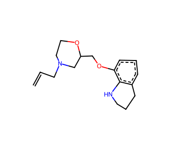 C=CCN1CCOC(COc2cccc3c2NCCC3)C1